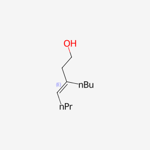 CCC/C=C(/CCO)CCCC